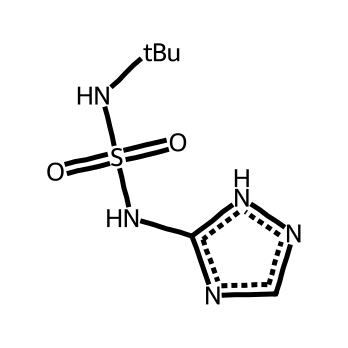 CC(C)(C)NS(=O)(=O)Nc1ncn[nH]1